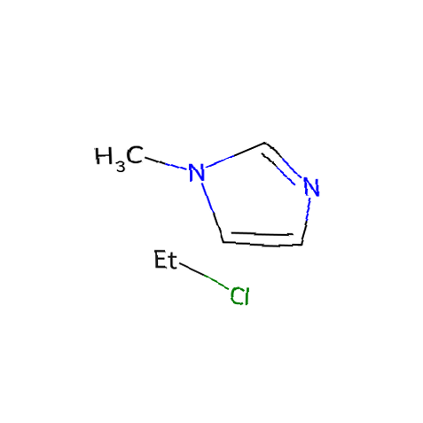 CCCl.Cn1ccnc1